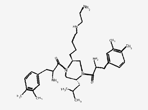 Cc1ccc(CC(N)C(=O)N2C[C@H](CCCCNCCN)N(C(=O)C(N)Cc3ccc(C)c(C)c3)C[C@H]2CC(C)C)cc1C